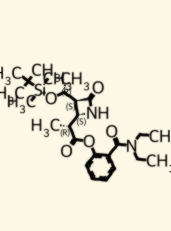 CCN(CC)C(=O)c1ccccc1OC(=O)[C@H](C)[C@H]1NC(=O)[C@@H]1[C@@H](C)O[Si](C)(C)C(C)(C)C